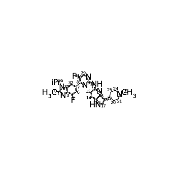 Cc1nc2c(F)cc(-c3nc(Nc4ccc5[nH]cc(C6CCN(C)CC6)c5n4)ncc3F)cc2n1C(C)C